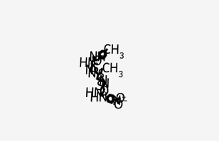 CCSC(Cc1nnc(OC(=N)Nc2ccc([N+](=O)[O-])cc2)s1)c1nnc(NC(=N)Oc2ccc(C)cc2)s1